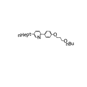 CCCCCCCc1ccc(-c2ccc(OCCCOCCCC)cc2)nc1